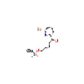 CC(C)(C)[Si](C)(C)OCC1CC(C(=O)c2cccc(Br)n2)C1